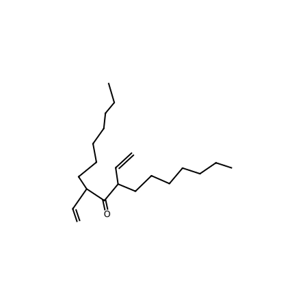 C=CC(CCCCCCC)C(=O)C(C=C)CCCCCCC